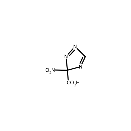 O=C(O)C1([N+](=O)[O-])N=CN=N1